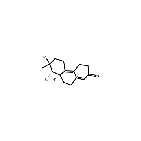 CC[C@H]1[C@@H]2CCC3=CC(=O)CCC3=C2CC[C@]1(C)C(C)=O